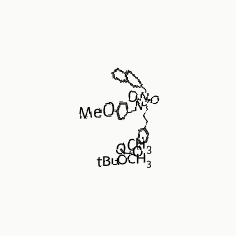 COc1ccc(CN2C(=O)N(Cc3ccc4ccccc4c3)C(=O)C2CCCc2ccc(OC(C)(C)C(=O)OC(C)(C)C)cc2)cc1